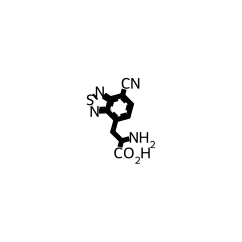 N#Cc1ccc(CC(N)C(=O)O)c2nsnc12